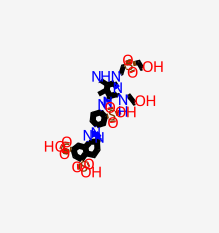 Cc1c(C#N)c(NCCS(=O)(=O)CCO)nc(NCCO)c1/N=N/c1ccc(-n2nc3ccc4c(S(=O)(=O)O)cc(S(=O)(=O)O)cc4c3n2)cc1S(=O)(=O)O